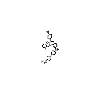 CN1CCN(c2ccc(Nc3ncc4cc(-c5cnc(C6CC6)nc5)c(=O)n(Cc5ccccc5C(F)(F)F)c4n3)cc2)CC1